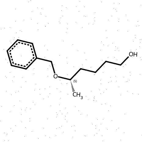 C[C@@H](CCCCO)OCc1ccccc1